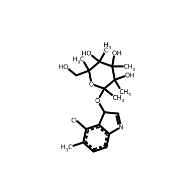 Cc1ccc2c(c1Cl)C(OC1(C)OC(C)(CO)C(C)(O)C(C)(O)C1(C)O)C=N2